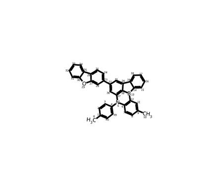 Cc1ccc(N2c3ccc(C)cc3B3c4ccccc4-c4cc(-c5ccc6c(c5)oc5ccccc56)cc2c43)cc1